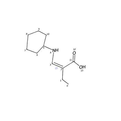 CC/C(=C/NC1CCCCC1)C(=O)O